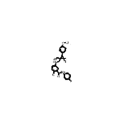 COc1ccc(C2C(Cl)(Cl)C2(C=O)CNc2ccc(Cl)c(C(=O)Nc3ccc(F)cc3)c2)cc1